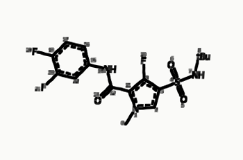 Cn1cc(S(=O)(=O)NC(C)(C)C)c(F)c1C(=O)Nc1ccc(F)c(F)c1